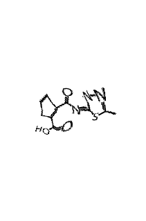 CC1=N[N]C(=NC(=O)C2=C(C(=O)O)CCC2)S1